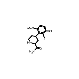 COc1ccc(Cl)c(Cl)c1C1CCNC(C(N)=O)C1